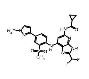 Cn1ccc(-c2ccc(Nc3cc(NC(=O)C4CC4)nc4[nH]c(C(F)F)nc34)c(S(C)(=O)=O)c2)n1